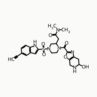 C#Cc1ccc2[nH]c(S(=O)(=O)N3CCN(C(=O)c4nc5c(o4)CNC(O)C5)C(CC(=O)N(C)C)C3)cc2c1